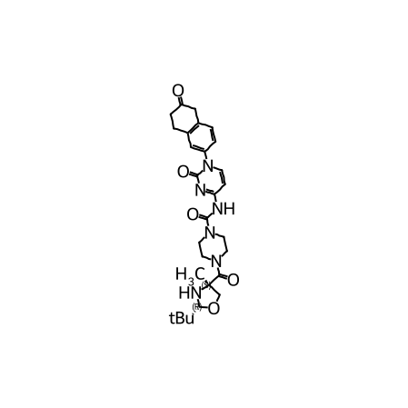 CC(C)(C)[C@@H]1N[C@](C)(C(=O)N2CCN(C(=O)Nc3ccn(-c4ccc5c(c4)CCC(=O)C5)c(=O)n3)CC2)CO1